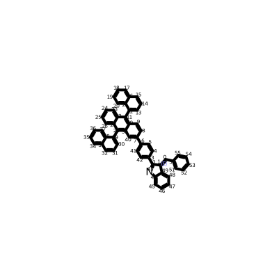 C(=C1\C(c2ccc(-c3ccc4c(-c5cccc6ccccc56)c5ccccc5c(-c5cccc6ccccc56)c4c3)cc2)=Nc2ccccc21)/c1ccccc1